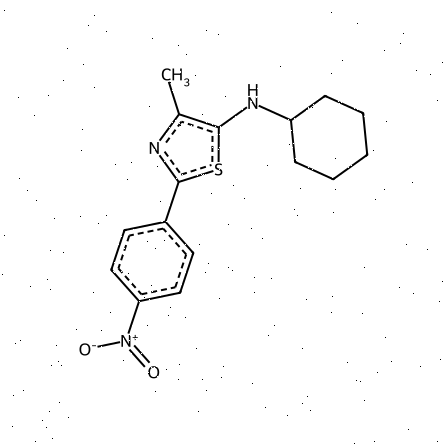 Cc1nc(-c2ccc([N+](=O)[O-])cc2)sc1NC1CCCCC1